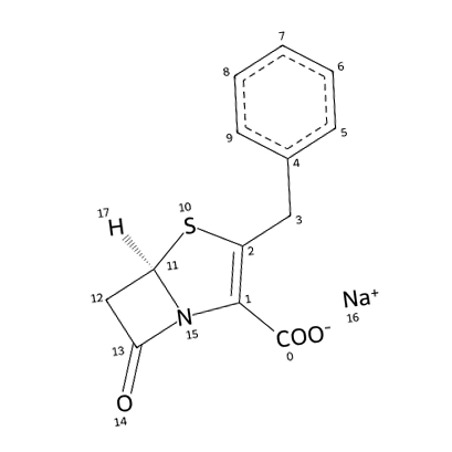 O=C([O-])C1=C(Cc2ccccc2)S[C@@H]2CC(=O)N12.[Na+]